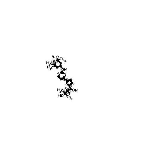 CC1(C)CC(Nc2nccc(-c3ccc(C(O)C(F)(F)C(C)(C)O)s3)n2)CC(C)(C)N1